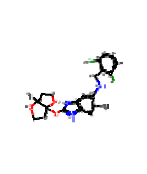 CCc1cc2[nH]c(O[C@@]34CCO[C@@H]3CCO4)nc2cc1NCc1c(F)cccc1F